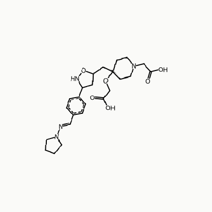 O=C(O)COC1(CC2CC(c3ccc(C=NN4CCCC4)cc3)NO2)CCN(CC(=O)O)CC1